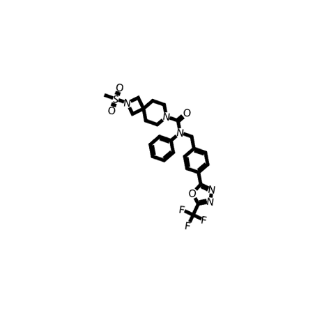 CS(=O)(=O)N1CC2(CCN(C(=O)N(Cc3ccc(-c4nnc(C(F)(F)F)o4)cc3)c3ccccc3)CC2)C1